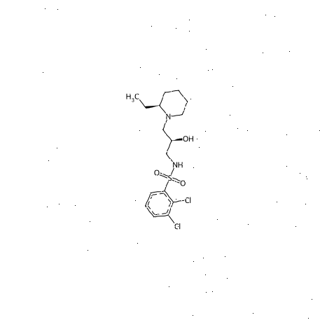 CC[C@H]1CCCCN1C[C@@H](O)CNS(=O)(=O)c1cccc(Cl)c1Cl